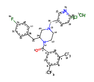 Cl.Cl.O=C(c1cc(C(F)(F)F)cc(C(F)(F)F)c1)N1CCN(Cc2cccnc2)CC1Cc1ccc(F)cc1